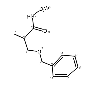 CONC(=O)C(C)COCc1ccccc1